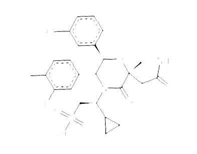 CC(C)(C)S(=O)(=O)C[C@H](C1CC1)N1C(=O)[C@@](C)(CC(N)=O)O[C@H](c2cccc(Cl)c2)[C@H]1c1ccc(Cl)c(F)c1